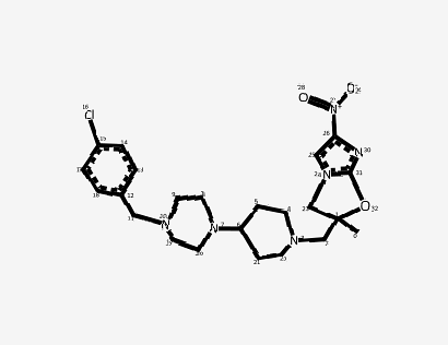 CC1(CN2CCC(N3CCN(Cc4ccc(Cl)cc4)CC3)CC2)Cn2cc([N+](=O)[O-])nc2O1